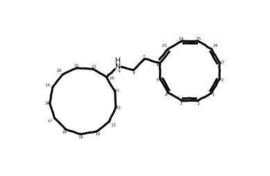 C1=C\C=C/C=C\C(CCNC2CCCCCCCCCCCC2)=C/C=C\C=C/1